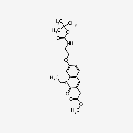 CCn1c(=O)c(CC(=O)OC)cc2ccc(OCCNC(=O)OC(C)(C)C)cc21